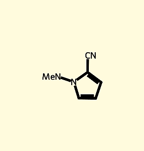 CNn1cccc1C#N